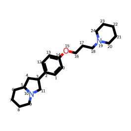 c1cc(C2CC3CCCCN3C2)ccc1OCCCN1CCCCC1